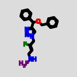 F/C(=C\CNP)Cn1cc(C(OCc2ccccc2)c2ccccc2)nn1